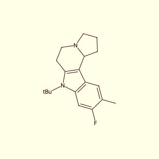 Cc1cc2c3c(n(C(C)(C)C)c2cc1F)CCN1CCCC31